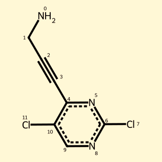 NCC#Cc1nc(Cl)ncc1Cl